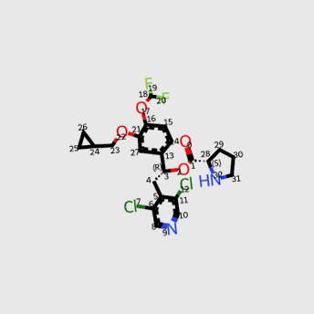 O=C(O[C@H](Cc1c(Cl)cncc1Cl)c1ccc(OC(F)F)c(OCC2CC2)c1)[C@@H]1CCCN1